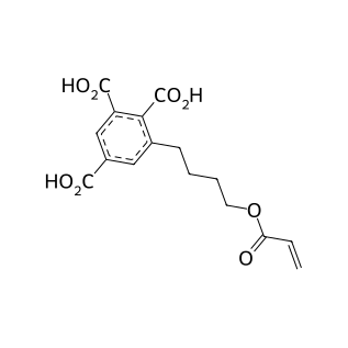 C=CC(=O)OCCCCc1cc(C(=O)O)cc(C(=O)O)c1C(=O)O